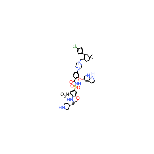 CC1(C)CCC(CN2CCN(c3ccc(C(=O)NS(=O)(=O)c4cc5c(c([N+](=O)[O-])c4)N[C@H](CC4CCNCC4)CO5)c(Oc4cnc5[nH]ccc5c4)c3)CC2)=C(c2ccc(Cl)cc2)C1